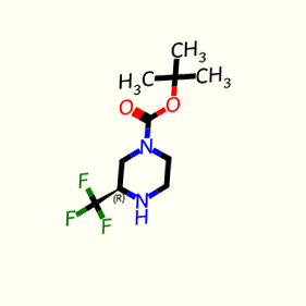 CC(C)(C)OC(=O)N1CCN[C@@H](C(F)(F)F)C1